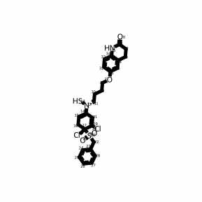 O=C1CCc2cc(OCCCC=[N+](S)C3=CCC(Cl)(S(=O)(=O)Cc4ccccc4)C(Cl)=C3)ccc2N1